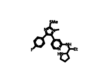 CCC(Nc1cc(-c2c(-c3ccc(F)cc3)nc(SC)n2C)ccn1)C1CCCN1